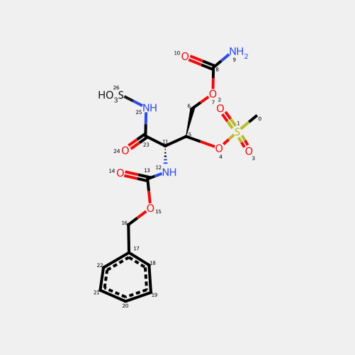 CS(=O)(=O)O[C@H](COC(N)=O)[C@H](NC(=O)OCc1ccccc1)C(=O)NS(=O)(=O)O